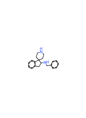 c1ccc(CNC2Cc3ccccc3C23CCNCC3)cc1